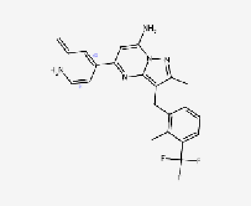 C=C/C=C(\C=C/N)c1cc(N)n2nc(C)c(Cc3cccc(C(F)(F)F)c3C)c2n1